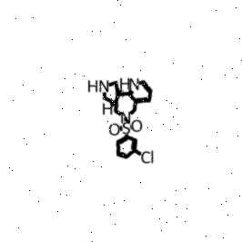 O=S(=O)(c1cccc(Cl)c1)N1Cc2cccnc2[C@H]2CNC[C@@H]2C1